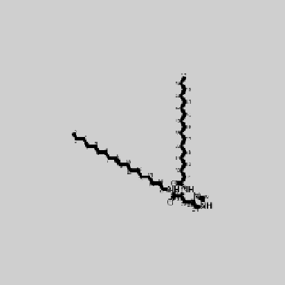 CCCCCCCC/C=C/CCCCCCCCNC(=O)C(Cc1c[nH]cn1)NC(=O)CCCCCCCCCCCCCCCCC